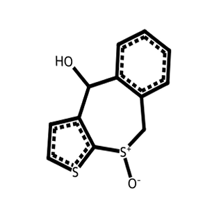 [O-][S+]1Cc2ccccc2C(O)c2ccsc21